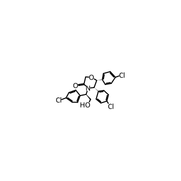 O=C1CO[C@H](c2ccc(Cl)cc2)[C@H](c2ccc(Cl)cc2)N1[C@@H](CO)c1ccc(Cl)cc1